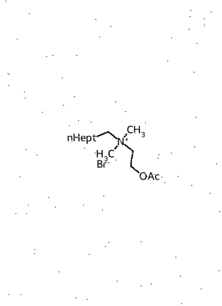 CCCCCCCC[N+](C)(C)CCOC(C)=O.[Br-]